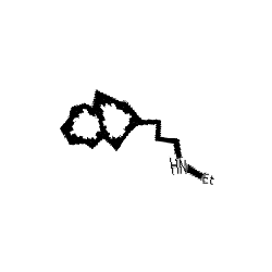 CCNCCCc1ccc2ccccc2c1